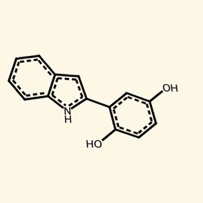 Oc1ccc(O)c(-c2cc3ccccc3[nH]2)c1